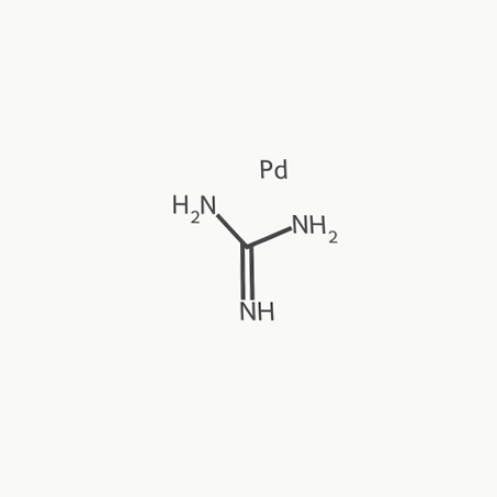 N=C(N)N.[Pd]